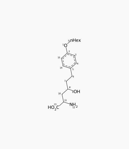 CCCCCCOc1ccc(CCC(O)CC(N)C(=O)O)cc1